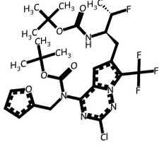 C[C@H](F)[C@@H](Cc1cc2c(N(Cc3ccco3)C(=O)OC(C)(C)C)nc(Cl)nn2c1C(F)(F)F)NC(=O)OC(C)(C)C